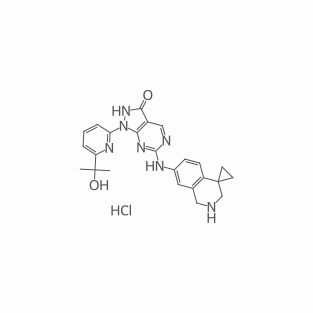 CC(C)(O)c1cccc(-n2[nH]c(=O)c3cnc(Nc4ccc5c(c4)CNCC54CC4)nc32)n1.Cl